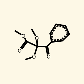 COC(=O)C(OC)(OC)C(=O)c1ccccc1